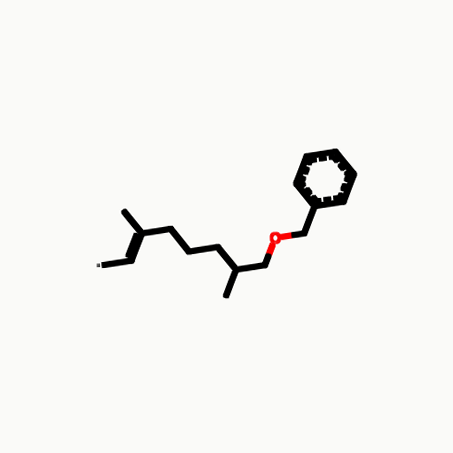 [CH2]C=C(C)CCCC(C)COCc1ccccc1